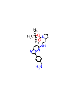 CC(C)(C)OC(=O)N1CCC[C@H]1CCNc1ccc2ncc(-c3ccc(CN)cc3)n2n1